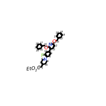 CCOC(=O)CC1CCN(c2ccc(-c3ccc(OCc4ccccc4)nc3OCc3ccccc3)cc2F)CC1